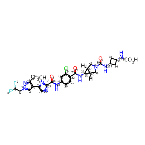 Cn1c(-c2cn(CC(F)F)nc2C(F)(F)F)cnc1C(=O)Nc1ccc(C(=O)N[C@H]2[C@@H]3CN(C(=O)N[C@H]4C[C@@H](NC(=O)O)C4)C[C@@H]32)c(Cl)c1